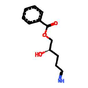 N=CCC[C@H](O)COC(=O)c1ccccc1